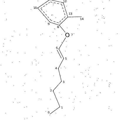 CCCCCC=COc1ccccc1C